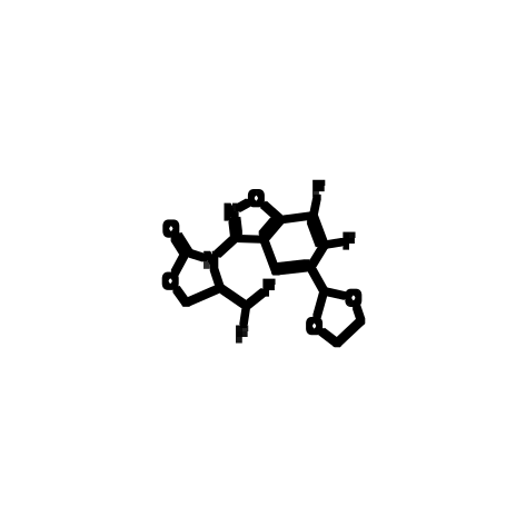 O=C1OCC(C(F)F)N1c1noc2c(F)c(F)c(C3OCCO3)cc12